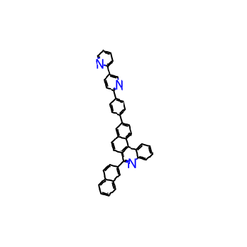 c1ccc(-c2ccc(-c3ccc(-c4ccc5c(ccc6c(-c7ccc8ccccc8c7)nc7ccccc7c65)c4)cc3)nc2)nc1